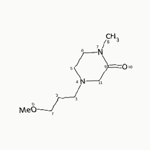 COCCCN1CCN(C)C(=O)C1